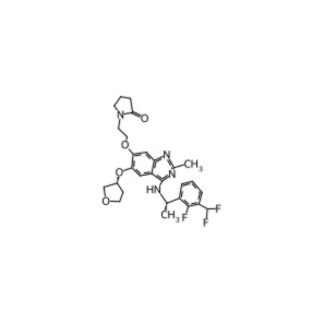 Cc1nc(N[C@H](C)c2cccc(C(F)F)c2F)c2cc(O[C@H]3CCOC3)c(OCCN3CCCC3=O)cc2n1